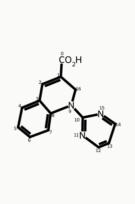 O=C(O)C1=Cc2ccccc2N(c2ncccn2)C1